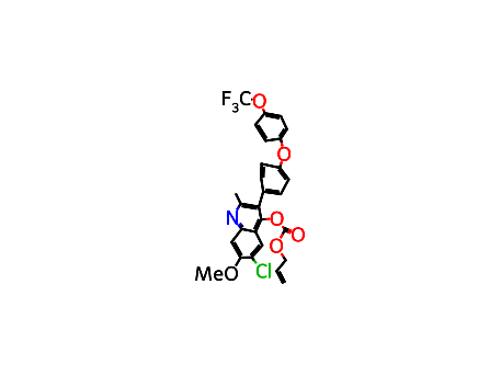 C=CCOC(=O)Oc1c(-c2ccc(Oc3ccc(OC(F)(F)F)cc3)cc2)c(C)nc2cc(OC)c(Cl)cc12